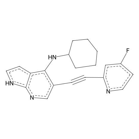 Fc1ccnc(C#Cc2cnc3[nH]ccc3c2NC2CCCCC2)c1